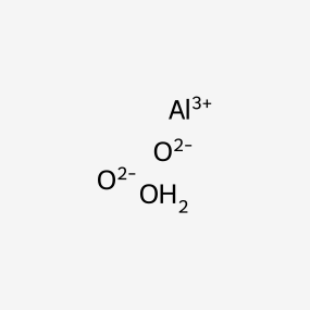 O.[Al+3].[O-2].[O-2]